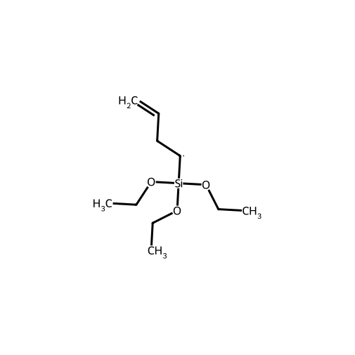 C=CC[CH][Si](OCC)(OCC)OCC